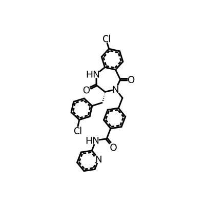 O=C(Nc1ccccn1)c1ccc(CN2C(=O)c3ccc(Cl)cc3NC(=O)[C@H]2Cc2cccc(Cl)c2)cc1